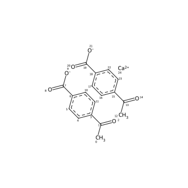 CC(=O)c1ccc(C(=O)[O-])cc1.CC(=O)c1ccc(C(=O)[O-])cc1.[Ca+2]